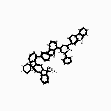 CC1(C)c2ccccc2C2C=C3C(=CC21)c1c(-c2ccc4oc5c(C6=NC(c7ccccc7)NC(C7=CCC8C(=C7)Oc7ccccc78)C6)cccc5c4c2)cccc1C31CCCCC1